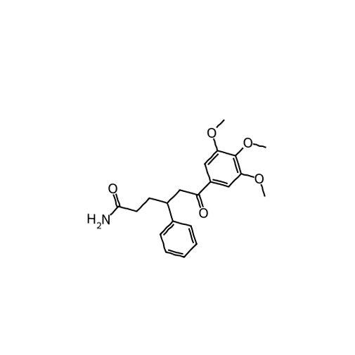 COc1cc(C(=O)CC(CCC(N)=O)c2ccccc2)cc(OC)c1OC